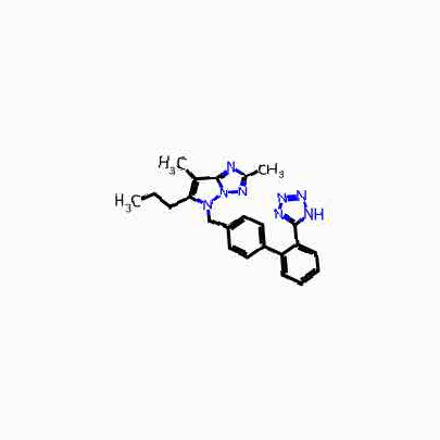 CCCc1c(C)c2nc(C)nn2n1Cc1ccc(-c2ccccc2-c2nnn[nH]2)cc1